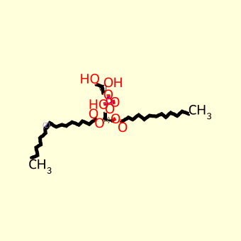 CCCCCCC/C=C\CCCCCCCC(=O)O[C@H](COC(=O)CCCCCCCCCCCCC)COP(=O)(O)OC[C@@H](O)CO